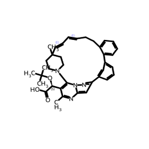 Cc1nc2cc3nn2c(c1[C@H](OC(C)(C)C)C(=O)O)N1CCC(C)(/C=C/C=C/CCc2ccccc2-c2cccc-3c2)CC1